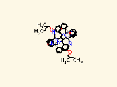 CCC(C)COc1ccc(-c2c3/c(=C(\C#N)c4ccccn4)n(B(c4ccccc4)c4ccccc4)c(-c4cccc(OCC(C)CC)c4)c3/c(=C(\C#N)c3ccccn3)n2B(c2ccccc2)c2ccccc2)cc1